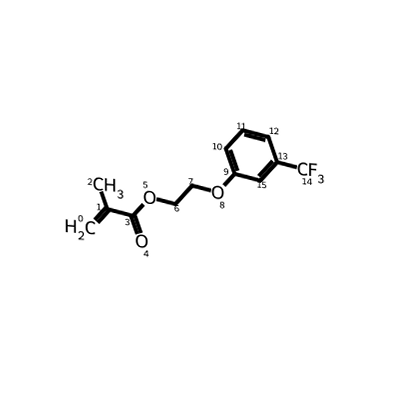 C=C(C)C(=O)OCCOc1cccc(C(F)(F)F)c1